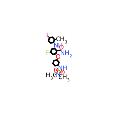 Cc1cc(I)ccc1Nc1cc(F)cc(Oc2cccc(NS(=O)(=O)N(C)C)c2)c1C(N)=O